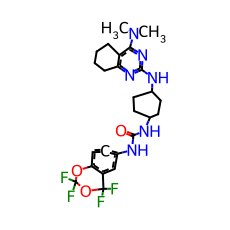 CN(C)c1nc(NC2CCC(NC(=O)Nc3ccc4c(c3)C(F)(F)OC(F)(F)O4)CC2)nc2c1CCCC2